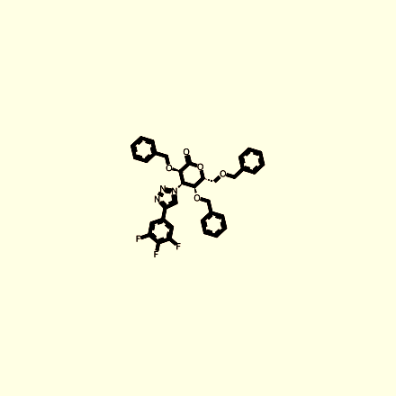 O=C1O[C@H](COCc2ccccc2)[C@H](OCc2ccccc2)[C@H](n2cc(-c3cc(F)c(F)c(F)c3)nn2)[C@H]1OCc1ccccc1